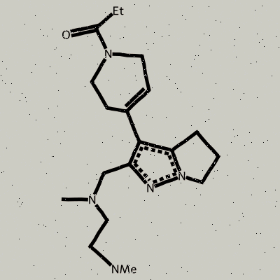 CCC(=O)N1CC=C(c2c(CN(C)CCNC)nn3c2CCC3)CC1